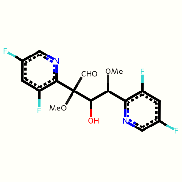 COC(c1ncc(F)cc1F)C(O)C(C=O)(OC)c1ncc(F)cc1F